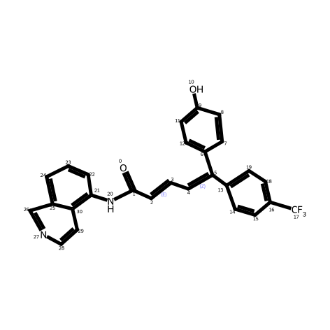 O=C(/C=C/C=C(\c1ccc(O)cc1)c1ccc(C(F)(F)F)cc1)Nc1cccc2cnccc12